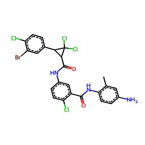 Cc1cc(N)ccc1NC(=O)c1cc(NC(=O)C2C(c3ccc(Cl)c(Br)c3)C2(Cl)Cl)ccc1Cl